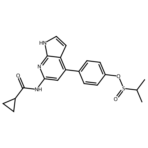 CC(C)S(=O)Oc1ccc(-c2cc(NC(=O)C3CC3)nc3[nH]ccc23)cc1